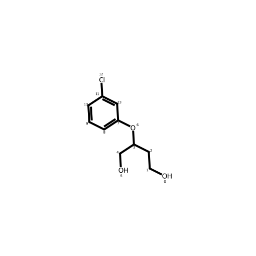 OCCC(CO)Oc1cccc(Cl)c1